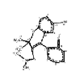 CN(C)CC1=C(n2ccccc2=O)c2cc(C#N)ccc2OC1(C)C